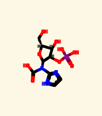 O=C(O)N(c1ncc[nH]1)C1O[C@H](CO)[C@@H](O)[C@H]1OP(=O)(O)O